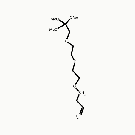 C=CC[SiH2]OCCOCCOCC(OC)(OC)OC